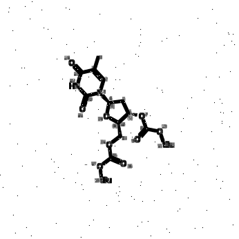 Cc1cn([C@H]2C[C@H](OC(=O)OC(C)(C)C)[C@@H](COC(=O)OC(C)(C)C)O2)c(=O)[nH]c1=O